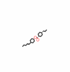 CCC/C=C/C1CCC(OC(=O)[C@H]2CC[C@H](CCC)CC2)CC1